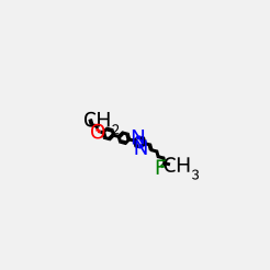 C=CCOc1ccc(-c2ccc(-c3cnc(C=CCCCC(C)F)cn3)cc2)cc1